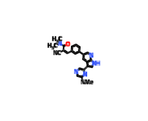 CNc1cncc(-c2c[nH]c3ncc(-c4cccc(C=C(C#N)C(=O)N(C)C)c4)cc23)n1